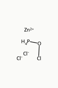 [Cl-].[Cl-].[PH4]OCl.[Zn+2]